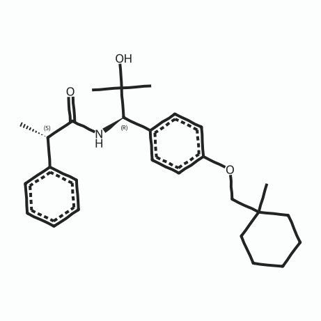 C[C@H](C(=O)N[C@H](c1ccc(OCC2(C)CCCCC2)cc1)C(C)(C)O)c1ccccc1